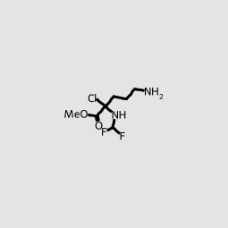 COC(=O)C(Cl)(CCCN)NC(F)F